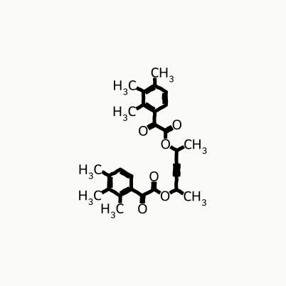 Cc1ccc(C(=O)C(=O)OC(C)C#CC(C)OC(=O)C(=O)c2ccc(C)c(C)c2C)c(C)c1C